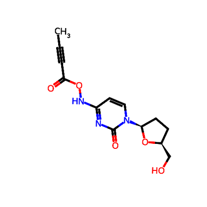 CC#CC(=O)ONc1ccn([C@H]2CC[C@@H](CO)O2)c(=O)n1